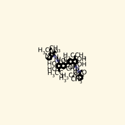 Cc1cc2c(C(C)C)c(O)c(O)c(/C=N/N=C(\C=O)c3cccnc3N(C)C(C)C)c2c(O)c1-c1c(C)cc2c(C(C)C)c(O)c(O)c(/C=N/N=C3/C(=O)N(C(C)C)c4ncccc43)c2c1O